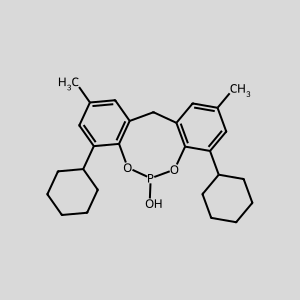 Cc1cc2c(c(C3CCCCC3)c1)OP(O)Oc1c(cc(C)cc1C1CCCCC1)C2